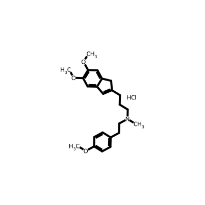 COc1ccc(CCN(C)CCCC2=Cc3cc(OC)c(OC)cc3C2)cc1.Cl